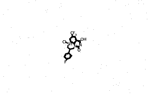 O=c1nc(O)c2cc(C(F)(F)F)cc3c2n1CC(c1ccc(F)cc1)C[SH]3Cl